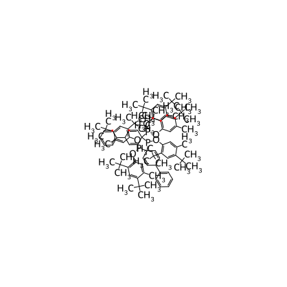 Cc1cc(OP(Oc2cc(C)c(C(C)(C)C)cc2C(C)(C)C)C2(P(Oc3cc(C)c(C(C)(C)C)cc3C(C)(C)C)C3(P(Oc4cc(C)c(C(C)(C)C)cc4C(C)(C)C)Oc4cc(C)c(C(C)(C)C)cc4C(C)(C)C)C=CC(c4ccccc4)C=C3)C=CC(c3ccccc3)C=C2)c(C(C)(C)C)cc1C(C)(C)C